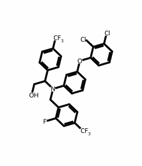 OCC(c1ccc(C(F)(F)F)cc1)N(Cc1ccc(C(F)(F)F)cc1F)c1cccc(Oc2cccc(Cl)c2Cl)c1